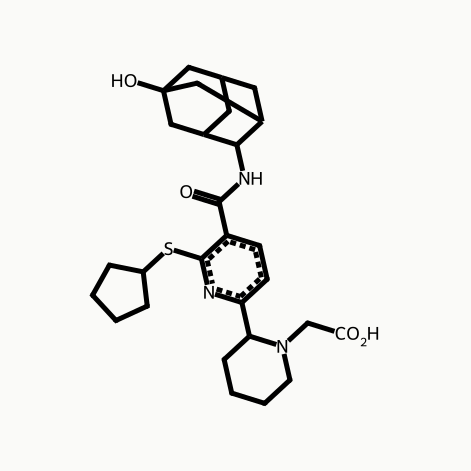 O=C(O)CN1CCCCC1c1ccc(C(=O)NC2C3CC4CC2CC(O)(C4)C3)c(SC2CCCC2)n1